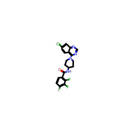 O=C(NC1CCN(c2ncnc3cc(Cl)ccc23)CC1)c1ccc(F)c(F)c1F